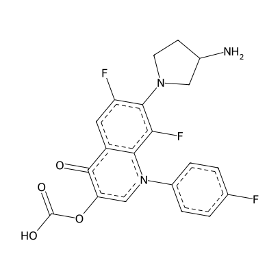 NC1CCN(c2c(F)cc3c(=O)c(OC(=O)O)cn(-c4ccc(F)cc4)c3c2F)C1